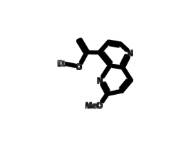 C=C(OCC)c1ccnc2ccc(OC)nc12